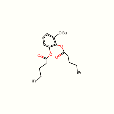 CC(C)CCCC(=O)Oc1cccc(OCC(C)C)c1OC(=O)CCCC(C)C